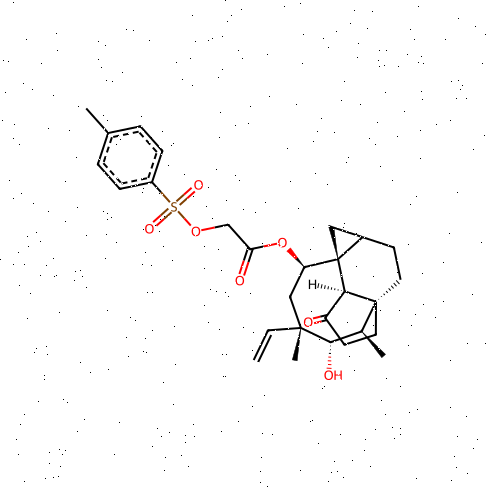 C=C[C@]1(C)C[C@@H](OC(=O)COS(=O)(=O)c2ccc(C)cc2)[C@]23CC2CC[C@]2(CCC(=O)[C@H]23)[C@@H](C)[C@@H]1O